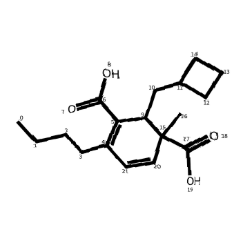 CCCCC1=C(C(=O)O)C(CC2CCC2)C(C)(C(=O)O)C=C1